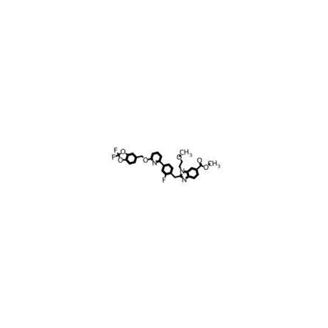 COCCn1c(Cc2ccc(-c3cccc(OCc4ccc5c(c4)OC(F)(F)O5)n3)cc2F)nc2ccc(C(=O)OC)cc21